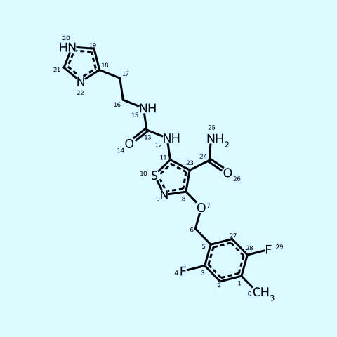 Cc1cc(F)c(COc2nsc(NC(=O)NCCc3c[nH]cn3)c2C(N)=O)cc1F